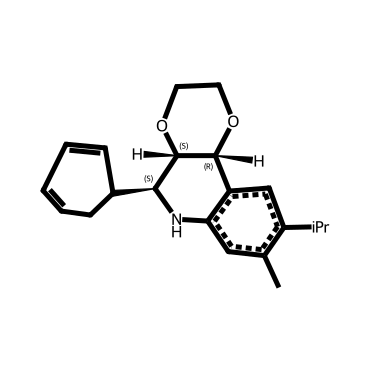 Cc1cc2c(cc1C(C)C)[C@H]1OCCO[C@H]1[C@H](C1C=CC=CC1)N2